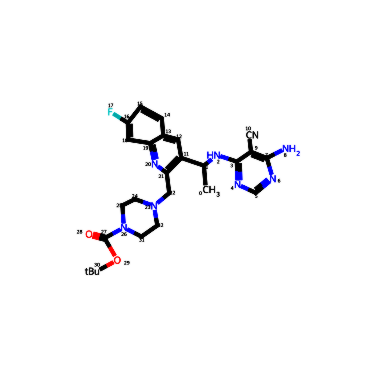 CC(Nc1ncnc(N)c1C#N)c1cc2ccc(F)cc2nc1CN1CCN(C(=O)OC(C)(C)C)CC1